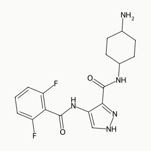 NC1CCC(NC(=O)c2n[nH]cc2NC(=O)c2c(F)cccc2F)CC1